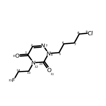 O=c1cnn(CCCCCl)c(=O)n1CCF